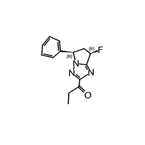 CCC(=O)c1nc2n(n1)[C@@H](c1ccccc1)C[C@H]2F